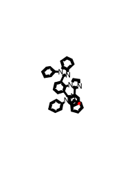 c1ccc(-c2nccn2-c2c(-c3nc4ccccc4n3-c3ccccc3)cccc2-c2nc3ccccc3n2-c2ccccc2)cc1